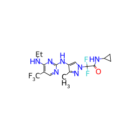 CCNc1nc(Nc2cn(C(F)(F)C(=O)NC3CC3)nc2C)ncc1C(F)(F)F